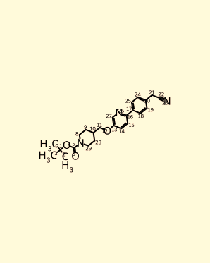 CC(C)(C)OC(=O)N1CCC(COc2ccc(-c3ccc(CC#N)cc3)nc2)CC1